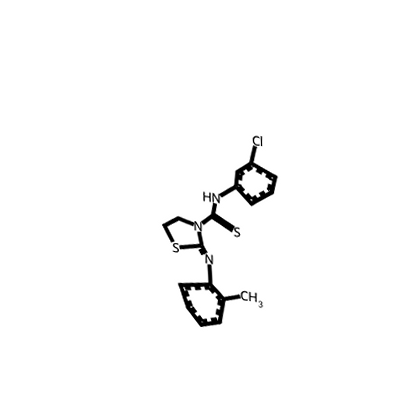 Cc1ccccc1N=C1SCCN1C(=S)Nc1cccc(Cl)c1